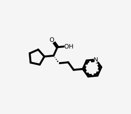 O=C(O)[C@H](CCCc1cccnc1)C1CCCC1